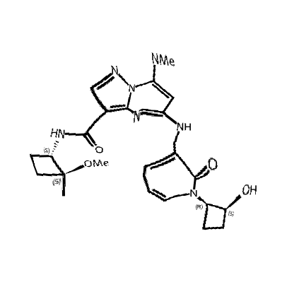 CNc1cc(Nc2cccn([C@@H]3CC[C@@H]3O)c2=O)nc2c(C(=O)N[C@H]3CC[C@]3(C)OC)cnn12